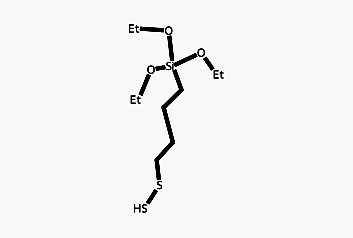 CCO[Si](CCCCSS)(OCC)OCC